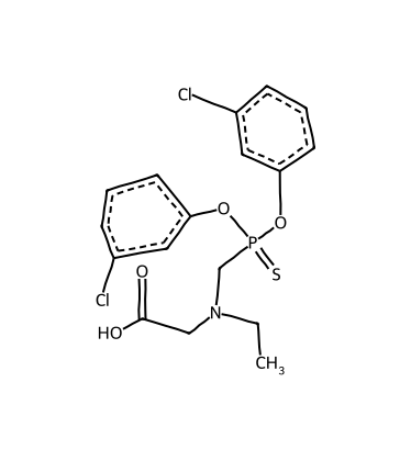 CCN(CC(=O)O)CP(=S)(Oc1cccc(Cl)c1)Oc1cccc(Cl)c1